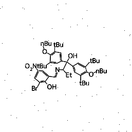 CCCCOc1c(C(C)(C)C)cc(C(O)(c2cc(C(C)(C)C)c(OCCCC)c(C(C)(C)C)c2)C(CC)N=Cc2cc([N+](=O)[O-])cc(Br)c2O)cc1C(C)(C)C